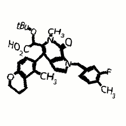 Cc1ccc(Cn2ccc3c(-c4ccc5c(c4C)CCCO5)c(C(OC(C)(C)C)C(=O)O)n(C)c(=O)c32)cc1F